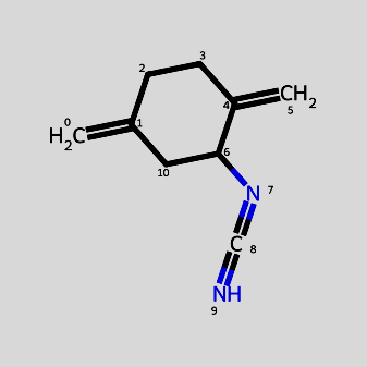 C=C1CCC(=C)C(N=C=N)C1